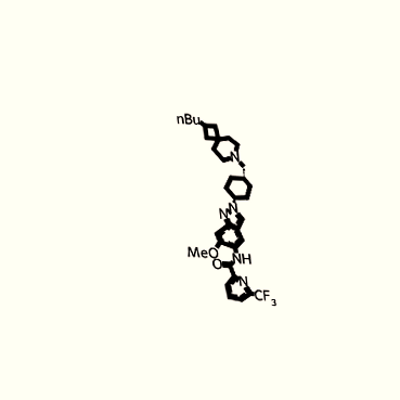 CCCCC1CC2(CCN(C[C@H]3CC[C@H](n4cc5cc(NC(=O)c6cccc(C(F)(F)F)n6)c(OC)cc5n4)CC3)CC2)C1